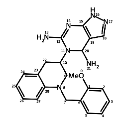 COc1ccccc1CN1CC(N2C(N)=Nc3[nH]ncc3C2N)Cc2ccccc21